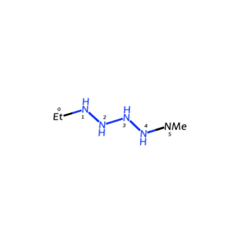 CCNNNNNC